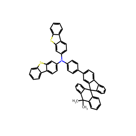 CC1(C)c2ccccc2C2(c3ccccc3-c3ccc(-c4ccc(N(c5ccc6c(c5)sc5ccccc56)c5ccc6c(c5)sc5ccccc56)cc4)cc32)c2ccccc21